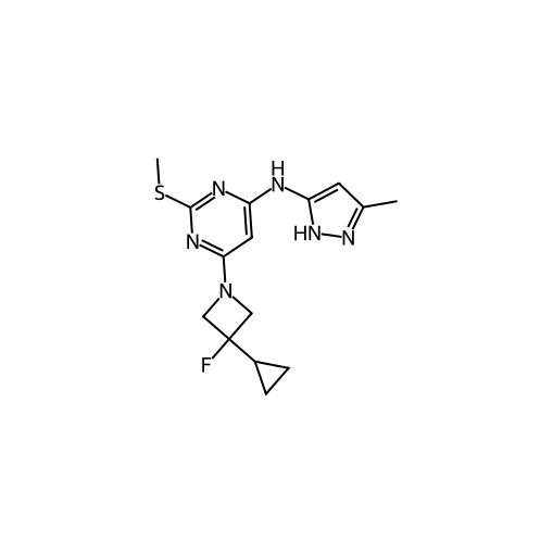 CSc1nc(Nc2cc(C)n[nH]2)cc(N2CC(F)(C3CC3)C2)n1